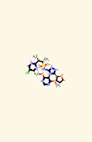 COc1ncnc(OC)c1-n1c(NS(=O)(=O)[C@@H](C)[C@H](C)c2ncc(Cl)cn2)nnc1[C@@H]1CCCO1